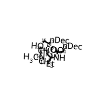 CCCCCCCCCCCC(=O)NC(CC)C(C(=O)[O-])[N+](C)(C)C.CCCCCCCCCCCCO